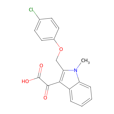 Cn1c(COc2ccc(Cl)cc2)c(C(=O)C(=O)O)c2ccccc21